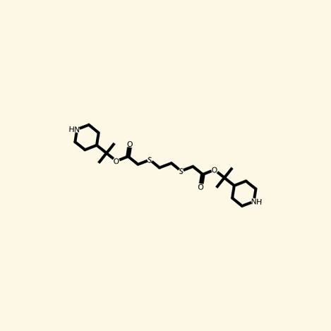 CC(C)(OC(=O)CSCCSCC(=O)OC(C)(C)C1CCNCC1)C1CCNCC1